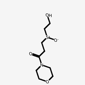 O=C(CC[S+]([O-])CCO)N1CCOCC1